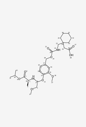 COCP(N[C@@H](C)C(=O)OC(C)C)Oc1ccc(COC(=O)NCC2(CC(=O)O)CCCCC2)cc1OC